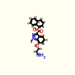 Cn1nc(S(=O)(=O)c2cccc3ccccc23)c2cccc(OCCN)c21